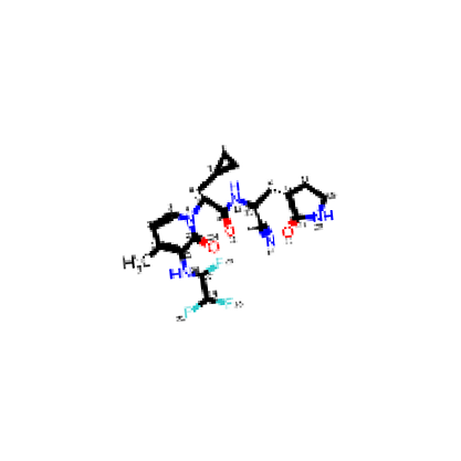 Cc1ccn([C@H](CC2CC2)C(=O)N[C@H](C#N)C[C@@H]2CCNC2=O)c(=O)c1NC(F)C(F)F